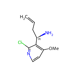 C=CC[C@@H](N)c1c(OC)ccnc1Cl